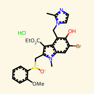 CCOC(=O)c1c(C[S+]([O-])c2ccccc2OC)n(C)c2cc(Br)c(O)c(Cn3ccnc3C)c12.Cl